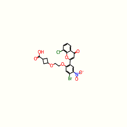 O=C(O)C1CC(OCCOc2cc(Br)c([N+](=O)[O-])cc2-c2cc(=O)c3cccc(Cl)c3o2)C1